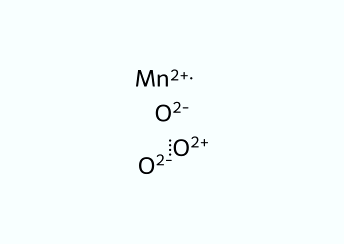 [Mn+2].[O+2].[O-2].[O-2]